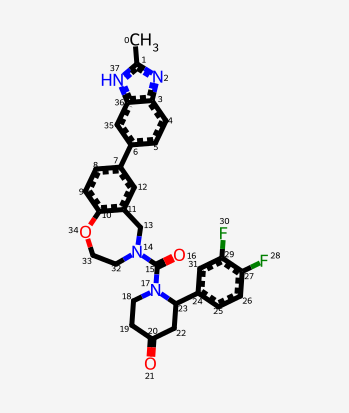 Cc1nc2ccc(-c3ccc4c(c3)CN(C(=O)N3CCC(=O)CC3c3ccc(F)c(F)c3)CCO4)cc2[nH]1